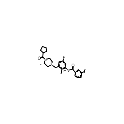 Cc1c(CN2CCN(C(=O)C3CCCC3)[C@@H](C)C2)cc(F)cc1NC(=O)c1cccc(F)c1